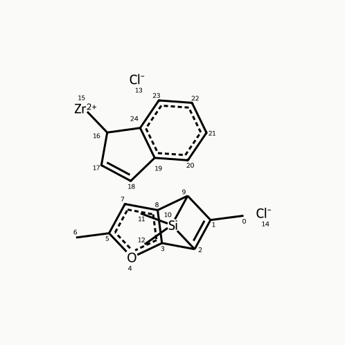 CC1=C2c3oc(C)cc3C1[Si]2(C)C.[Cl-].[Cl-].[Zr+2][CH]1C=Cc2ccccc21